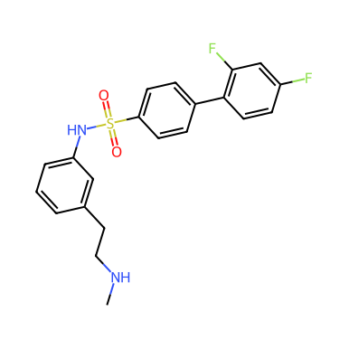 CNCCc1cccc(NS(=O)(=O)c2ccc(-c3ccc(F)cc3F)cc2)c1